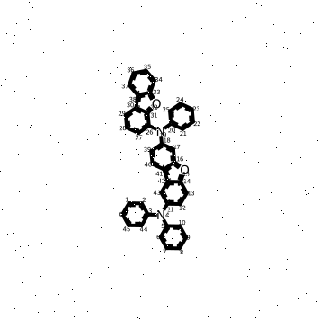 c1ccc(N(c2ccccc2)c2ccc3oc4cc(N(c5ccccc5)c5cccc6c5oc5ccccc56)ccc4c3c2)cc1